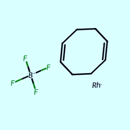 C1=CCCC=CCC1.F[B-](F)(F)F.[Rh]